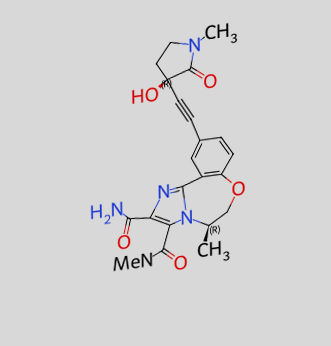 CNC(=O)c1c(C(N)=O)nc2n1[C@H](C)COc1ccc(C#C[C@]3(O)CCN(C)C3=O)cc1-2